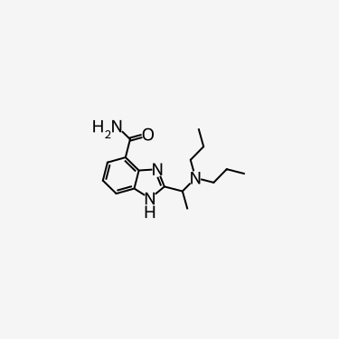 CCCN(CCC)C(C)c1nc2c(C(N)=O)cccc2[nH]1